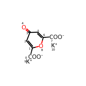 O=C([O-])c1cc(=O)cc(C(=O)[O-])o1.[K+].[K+]